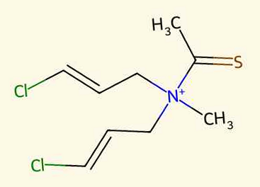 CC(=S)[N+](C)(CC=CCl)CC=CCl